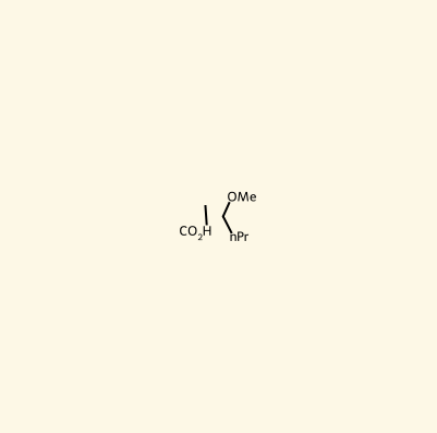 CC(=O)O.CCCCOC